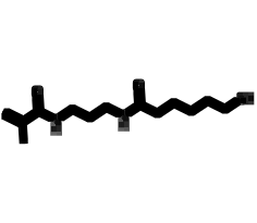 C=C(C)C(=O)NCCCNC(=O)CCCCCS